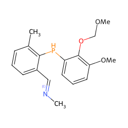 C/N=C/c1cccc(C)c1Pc1cccc(OC)c1OCOC